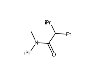 CCC(C(=O)N(C)C(C)C)C(C)C